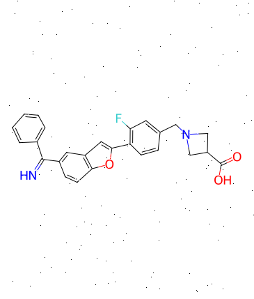 N=C(c1ccccc1)c1ccc2oc(-c3ccc(CN4CC(C(=O)O)C4)cc3F)cc2c1